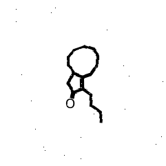 CCCCC1=C2CCCCCCCCC2CC1=O